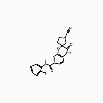 N#CN1CCC2(C1)Oc1nc(C(=O)Nc3ccccc3F)ccc1NC2=O